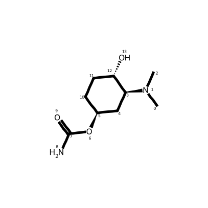 CN(C)[C@H]1C[C@@H](OC(N)=O)CC[C@@H]1O